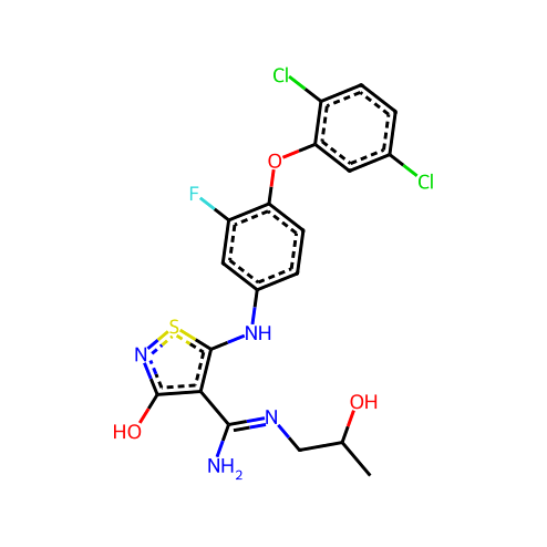 CC(O)CN=C(N)c1c(O)nsc1Nc1ccc(Oc2cc(Cl)ccc2Cl)c(F)c1